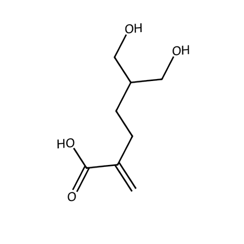 C=C(CCC(CO)CO)C(=O)O